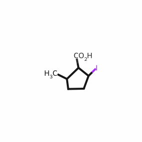 CC1CCC(I)C1C(=O)O